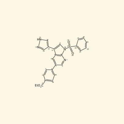 CCOC(=O)c1ccc(-c2cnc3c(c2)c(-c2cn[nH]c2)cn3S(=O)(=O)c2ccccc2)cc1